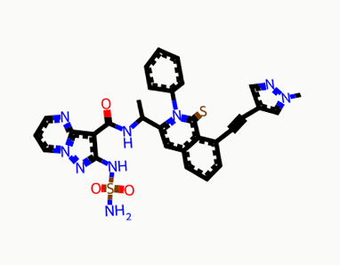 CC(NC(=O)c1c(NS(N)(=O)=O)nn2cccnc12)c1cc2cccc(C#Cc3cnn(C)c3)c2c(=S)n1-c1ccccc1